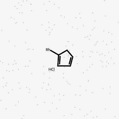 Cl.[Rh][C]1=CC=CC1